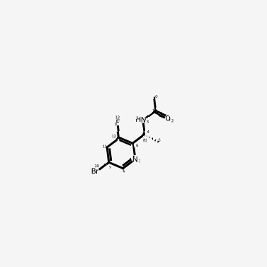 CC(=O)N[C@H](C)c1ncc(Br)cc1F